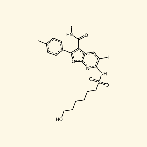 CNC(=O)c1c(-c2ccc(C)cc2)oc2nc(NS(=O)(=O)CCCCCCO)c(I)cc12